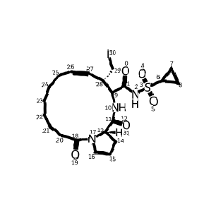 O=C(NS(=O)(=O)C1CC1)C1NC(=O)[C@@H]2CCCN2C(=O)CCCCCC/C=C\[C@@H]1CI